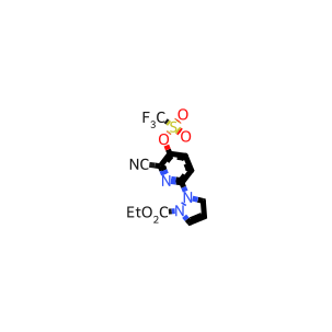 CCOC(=O)N1C=CCN1c1ccc(OS(=O)(=O)C(F)(F)F)c(C#N)n1